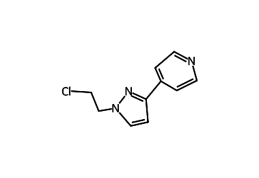 ClCCn1ccc(-c2ccncc2)n1